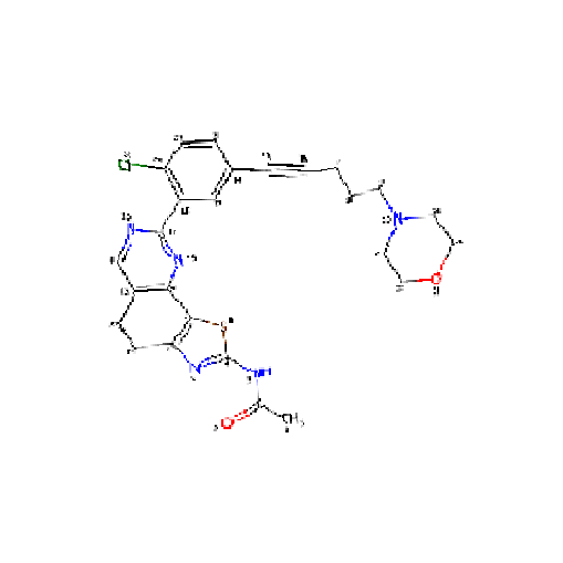 CC(=O)Nc1nc2c(s1)-c1nc(-c3cc(C#CCCCN4CCOCC4)ccc3Cl)ncc1CC2